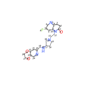 O=c1ccc2ncc(F)cc2n1CCN1CC[C@@H](NCc2cc3c(cn2)OCCO3)C1